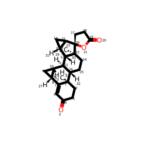 C[C@]12CCC(=O)C=C1[C@@H]1C[C@@H]1[C@H]1[C@@H]3[C@@H]4CC4[C@@]4(CCC(=O)O4)[C@@]3(C)CC[C@@H]12